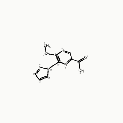 COc1ncc(C(=O)O)nc1-n1cccn1